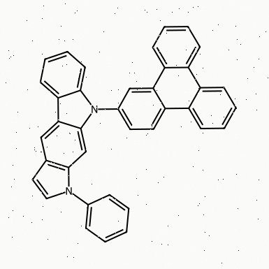 c1ccc(-n2ccc3cc4c5ccccc5n(-c5ccc6c7ccccc7c7ccccc7c6c5)c4cc32)cc1